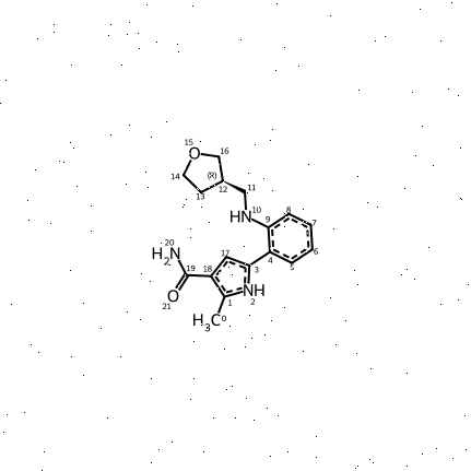 Cc1[nH]c(-c2ccccc2NC[C@H]2CCOC2)cc1C(N)=O